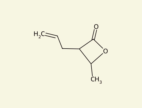 C=CCC1C(=O)OC1C